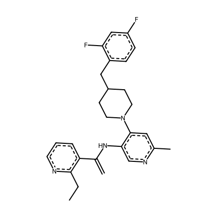 C=C(Nc1cnc(C)cc1N1CCC(Cc2ccc(F)cc2F)CC1)c1cccnc1CC